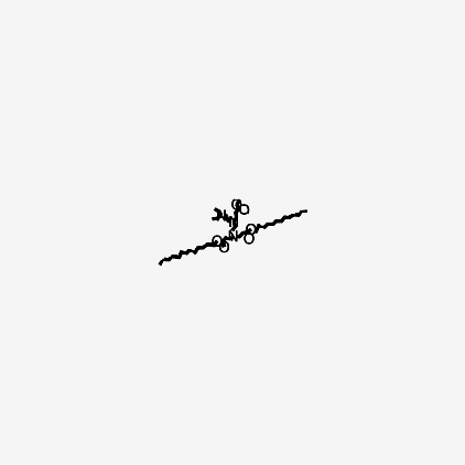 CCCCCCCCCCCCCOC(=O)CCN(CCC(=O)OCCCCCCCCCCCCC)CCN(CCC(=O)OC)CCN(CC)CC